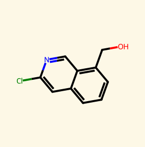 OCc1cccc2cc(Cl)ncc12